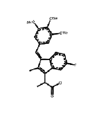 COc1cc(/C=C2/C(C)=C(C(C)C(=O)Cl)c3cc(F)ccc32)cc(OC)c1OC